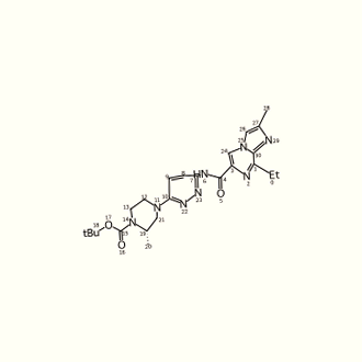 CCc1nc(C(=O)Nc2ccc(N3CCN(C(=O)OC(C)(C)C)[C@@H](C)C3)nn2)cn2cc(C)nc12